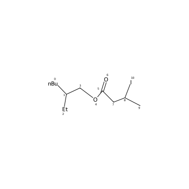 CCCCC(CC)COC(=O)CC(C)I